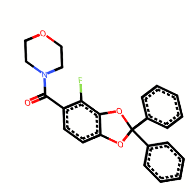 O=C(c1ccc2c(c1F)OC(c1ccccc1)(c1ccccc1)O2)N1CCOCC1